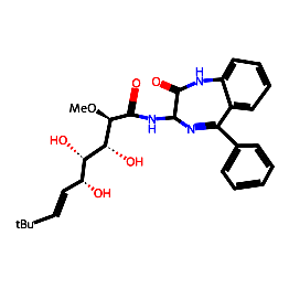 CO[C@@H](C(=O)NC1N=C(c2ccccc2)c2ccccc2NC1=O)[C@H](O)[C@@H](O)[C@H](O)C=CC(C)(C)C